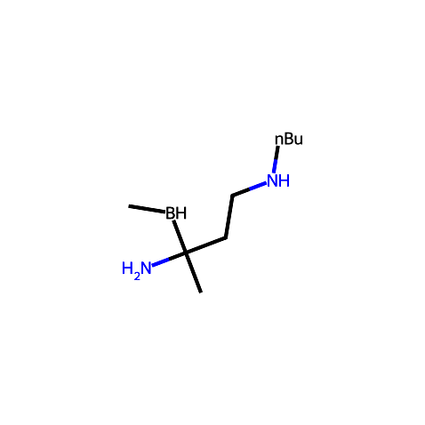 CBC(C)(N)CCNCCCC